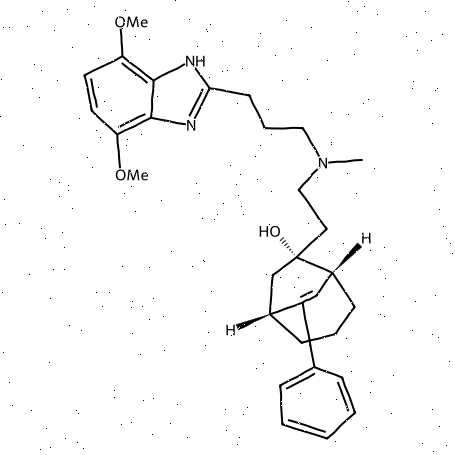 COc1ccc(OC)c2[nH]c(CCCN(C)CC[C@]3(O)C[C@H]4CCC[C@@H]3C=C4c3ccccc3)nc12